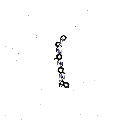 Cc1cc(/N=N/c2ccc(N3CCCC3)s2)ccc1/N=N/c1ccc(/N=N/c2snc3ccccc23)c(C)c1